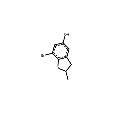 CC1Cc2cc(O)cc(Br)c2O1